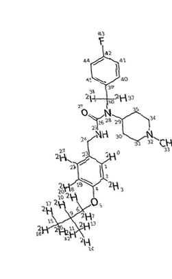 [2H]c1c([2H])c(OC([2H])([2H])C([2H])(C([2H])([2H])[2H])C([2H])([2H])[2H])c([2H])c([2H])c1CNC(=O)N(C1CCN(C)CC1)C([2H])([2H])c1ccc(F)cc1